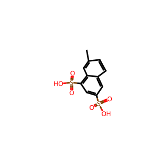 Cc1ccc2cc(S(=O)(=O)O)cc(S(=O)(=O)O)c2c1